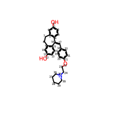 Oc1ccc2c(c1)CCc1cc(O)ccc1C2=Cc1ccc(OCCN2CCCCC2)cc1